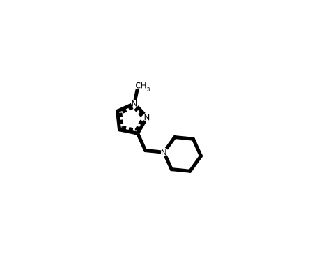 Cn1ccc(CN2CCCCC2)n1